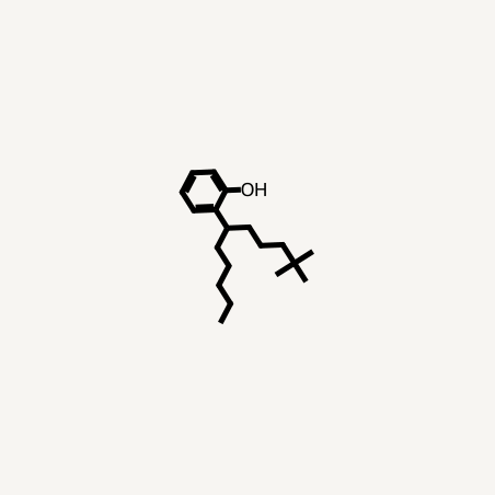 CCCCCC(CCCC(C)(C)C)c1ccccc1O